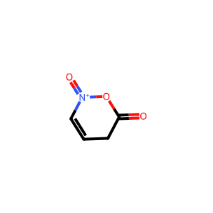 O=C1CC=C[N+](=O)O1